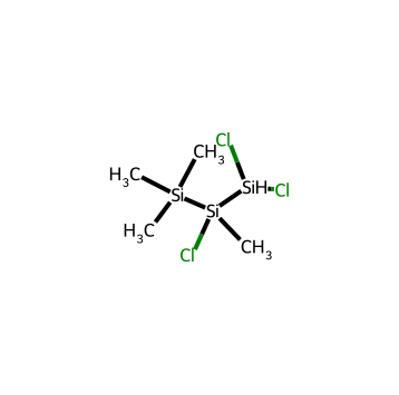 C[Si](C)(C)[Si](C)(Cl)[SiH](Cl)Cl